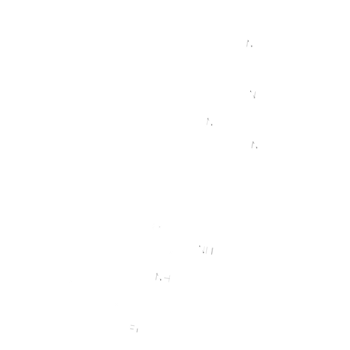 CCc1ccccc1NC(=O)N[C@H]1CC[C@@H](Nc2nc(N(C)C)c3ccccc3n2)CC1